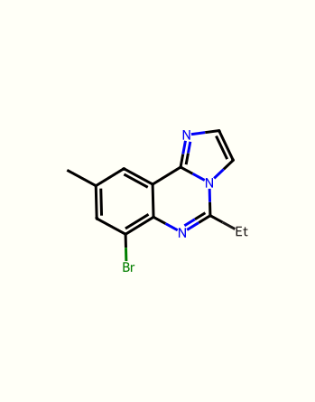 CCc1nc2c(Br)cc(C)cc2c2nccn12